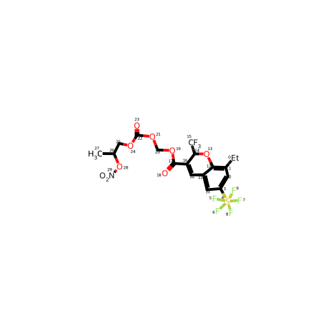 CCc1cc(S(F)(F)(F)(F)F)cc2c1OC(C(F)(F)F)C(C(=O)OCOC(=O)OCC(C)O[N+](=O)[O-])=C2